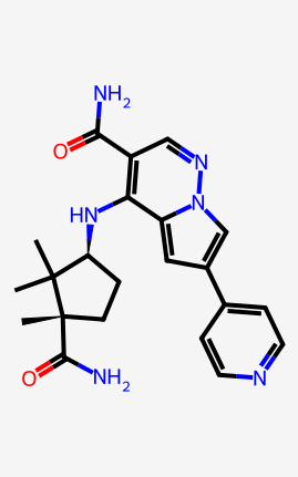 CC1(C)[C@@H](Nc2c(C(N)=O)cnn3cc(-c4ccncc4)cc23)CC[C@]1(C)C(N)=O